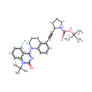 [2H]C([2H])([2H])n1c(=O)nc(N2CCCc3c(C#CC4CCCN4C(=O)OC(C)(C)C)cccc32)c2c(F)cccc21